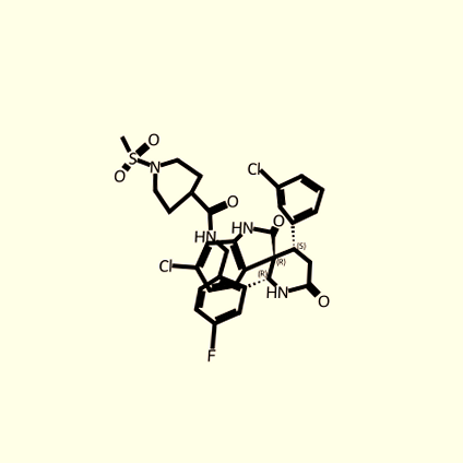 CS(=O)(=O)N1CCC(C(=O)NCc2ccc(F)cc2[C@H]2NC(=O)C[C@@H](c3cccc(Cl)c3)[C@]23C(=O)Nc2cc(Cl)ccc23)CC1